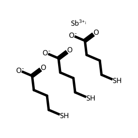 O=C([O-])CCCS.O=C([O-])CCCS.O=C([O-])CCCS.[Sb+3]